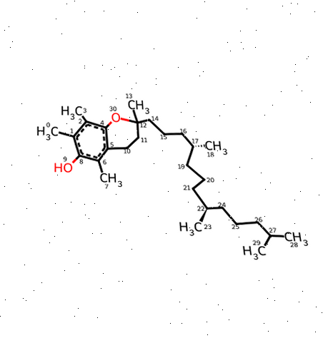 Cc1c(C)c2c(c(C)c1O)CCC(C)(CCC[C@H](C)CCC[C@H](C)CCCC(C)C)O2